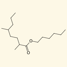 CCCCCCOC(=O)C(C)CCC(C)CCC